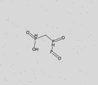 O=P[PH](=O)C[PH](=O)O